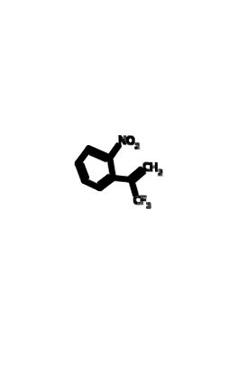 C=C(c1ccccc1[N+](=O)[O-])C(F)(F)F